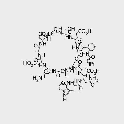 CC(=O)N[C@@H](Cc1c[nH]c2ccccc12)C(=O)N[C@H](CC(N)=O)C(=O)N[C@@H](CC(=O)O)C(=O)N[C@@H]1C(=O)NCC(=O)N[C@@H](CCCN)C(=O)N[C@@H](CC(=O)O)C(=O)N[C@H](C)C(=O)N[C@@H](CC(=O)O)C(=O)NCC(=O)N[C@H](CO)C(=O)N[C@@H]([C@@H](C)CC(=O)O)C(=O)N[C@@H](CC(=O)c2ccccc2NC(=O)OC(C)C)C(=O)O[C@@H]1C